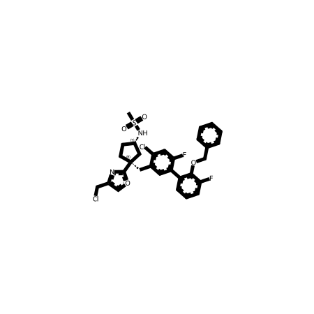 CS(=O)(=O)N[C@H]1CC[C@](Cc2cc(-c3cccc(F)c3OCc3ccccc3)c(F)cc2Cl)(c2nc(CCl)co2)C1